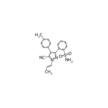 CC=Cn1nc(-c2ccccc2S(N)(=O)=O)c(-c2ccc(C)cc2)c1C#N